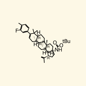 C=C(C)[C@@H]1CC[C@]2(NC(=O)OC(C)(C)C)CC[C@]3(C)[C@H](CC[C@@H]4[C@@]5(C)CC=C(c6ccc(C)c(F)c6)C(C)(C)[C@@H]5CC[C@]43C)[C@@H]12